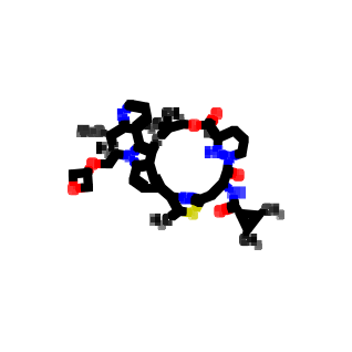 CO[C@@H](C)c1ncccc1-c1c2c3cc(ccc3n1CCOC1COC1)C1N=C(C[C@H](NC(=O)[C@H]3[C@H](C)[C@@H]3C)C(=O)N3CCC[C@H](N3)C(=O)OCC(C)(C)C2)SC1C